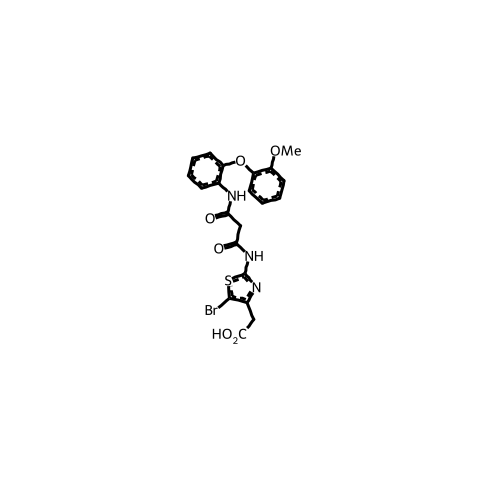 COc1ccccc1Oc1ccccc1NC(=O)CC(=O)Nc1nc(CC(=O)O)c(Br)s1